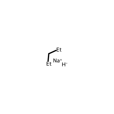 CCCCC.[H-].[Na+]